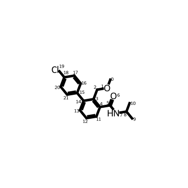 COCc1c(C(=O)NC(C)C)cccc1-c1ccc(Cl)cc1